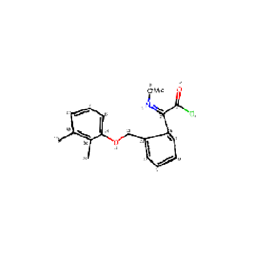 CON=C(C(=O)Cl)c1ccccc1COc1cccc(C)c1C